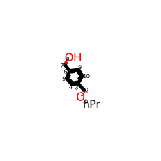 CCCOCc1ccc(CO)cc1